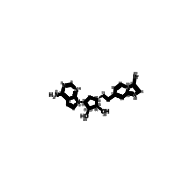 Nc1ncnc2c1ccn2[C@@H]1C[C@H](CCc2ccn3c(Br)cnc3c2)[C@@H](O)[C@H]1O